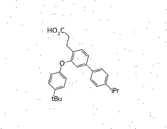 CC(C)c1ccc(-c2ccc(CCC(=O)O)c(Oc3ccc(C(C)(C)C)cc3)c2)cc1